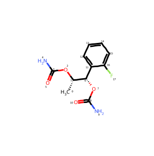 C[C@H](OC(N)=O)[C@@H](OC(N)=O)c1ccccc1F